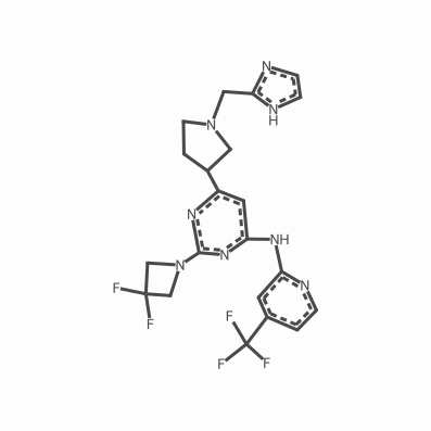 FC1(F)CN(c2nc(Nc3cc(C(F)(F)F)ccn3)cc(C3CCN(Cc4ncc[nH]4)C3)n2)C1